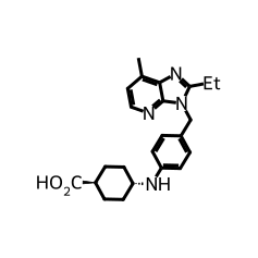 CCc1nc2c(C)ccnc2n1Cc1ccc(N[C@H]2CC[C@H](C(=O)O)CC2)cc1